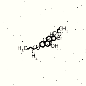 C=C(CCC)OO[C@H]1CC[C@@]2(C)C(C1)C[C@H](O)C1C3C[C@@H](Br)[C@H](OC(=O)CC)[C@H]3CCC12